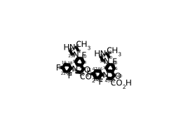 CC1CN(c2cc3c(cc2F)c(=O)c(C(=O)O)cn3-c2ccc(F)cc2F)CCN1.CC1CN(c2cc3c(cc2F)c(=O)c(C(=O)O)cn3-c2ccc(F)cc2F)CCN1